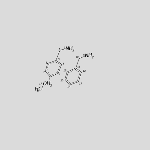 Cl.NCc1ccccc1.NCc1ccccc1.O